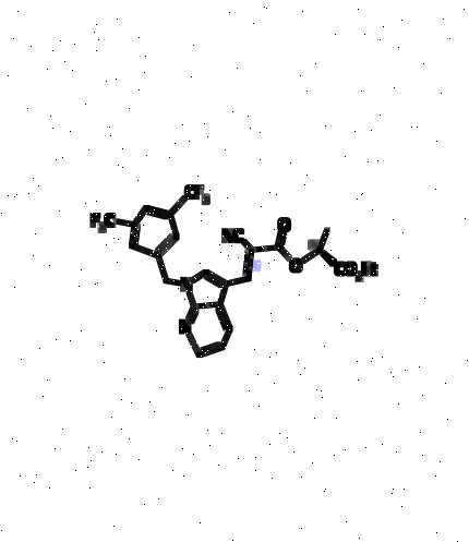 CCOC(=O)[C@H](C)OC(=O)/C(C#N)=C/c1cn(Cc2cc(C(F)(F)F)cc(C(F)(F)F)c2)c2ncccc12